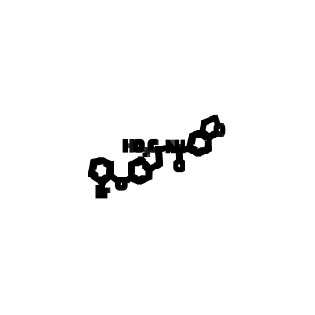 O=C(O)C(=Cc1ccc(Oc2ccccc2Br)cc1)NC(=O)c1ccc2c(c1)CCO2